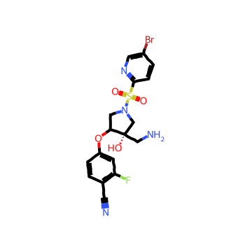 N#Cc1ccc(OC2CN(S(=O)(=O)c3ccc(Br)cn3)C[C@@]2(O)CN)cc1F